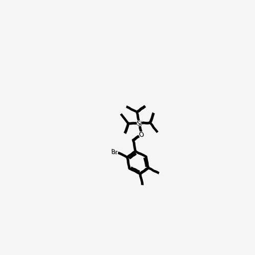 Cc1cc(Br)c(CO[Si](C(C)C)(C(C)C)C(C)C)cc1C